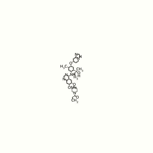 C=CC(=O)N1CCC(Oc2cc3c(Nc4cc(C)c(Oc5ccn6ncnc6c5)cc4C(C)(C)O)ncnc3cc2OC)CC1